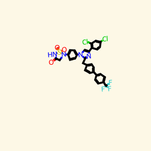 O=C1CN(c2ccc(-n3cc(-c4ccc(Cl)cc4Cl)nc3Cc3ccc(-c4ccc(C(F)(F)F)cc4)cc3)cc2)S(=O)(=O)N1